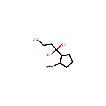 CCCCCCC1CCCC1C(O)(O)CCOC(C)=O